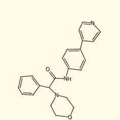 O=C(Nc1ccc(-c2ccncc2)cc1)C(c1ccccc1)N1CCOCC1